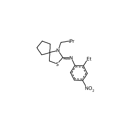 CCc1cc([N+](=O)[O-])ccc1N=C1SCC2(CCCC2)N1CC(C)C